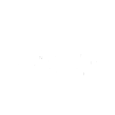 CCCN(CCC)C1Cc2ccc(C(F)(F)F)cc2C1